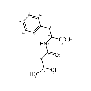 CC(O)CC(=O)NC(Cc1ccccc1)C(=O)O